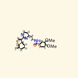 COc1ccc(C(=O)NCCc2ccnc(-c3csc4c(F)cccc34)n2)cc1OC